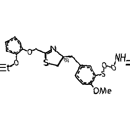 CCOc1ccccc1OCC1=N[C@@H](Cc2ccc(OC)c(SOON)c2)CS1